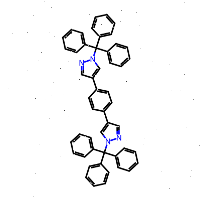 c1ccc(C(c2ccccc2)(c2ccccc2)n2cc(-c3ccc(-c4cnn(C(c5ccccc5)(c5ccccc5)c5ccccc5)c4)cc3)cn2)cc1